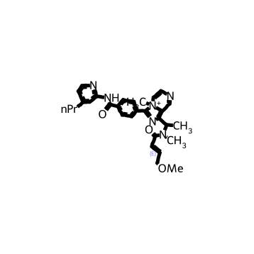 CCCc1ccnc(NC(=O)c2ccc(C3=NC(C(C)N(C)C(=O)/C=C/COC)=C4C=NC=C[N+]34C)cc2)c1